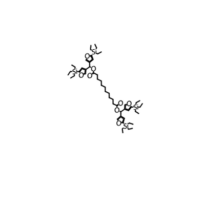 CC[Si](CC)(CC)c1cc(C(OC(=O)CCCCCCCCCCC(=O)OC(c2coc([Si](CC)(CC)CC)c2)c2coc([Si](CC)(CC)CC)c2)c2coc([Si](CC)(CC)CC)c2)co1